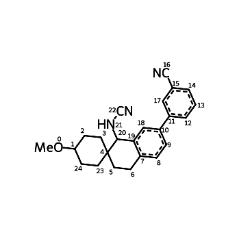 COC1CCC2(CCc3ccc(-c4cccc(C#N)c4)cc3C2NC#N)CC1